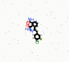 NC(=O)c1[c]ccc2c(Cc3ccc(Cl)c(F)c3)n[nH]c(=O)c12